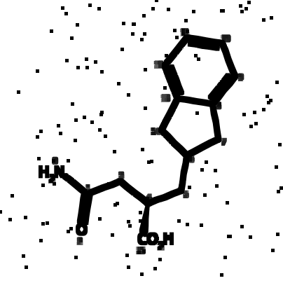 NC(=O)C[C@@H](CC1Cc2ccccc2C1)C(=O)O